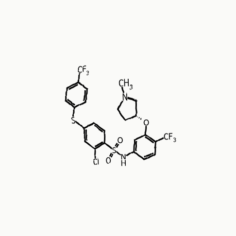 CN1CC[C@@H](Oc2cc(NS(=O)(=O)c3ccc(Sc4ccc(C(F)(F)F)cc4)cc3Cl)ccc2C(F)(F)F)C1